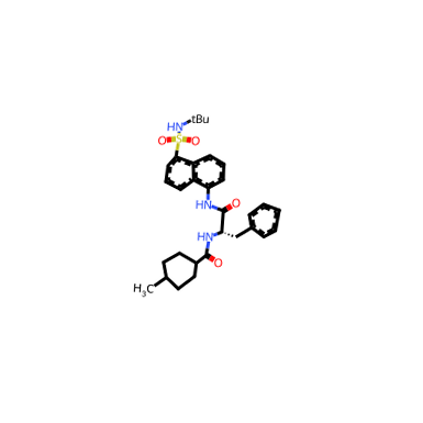 CC1CCC(C(=O)N[C@@H](Cc2ccccc2)C(=O)Nc2cccc3c(S(=O)(=O)NC(C)(C)C)cccc23)CC1